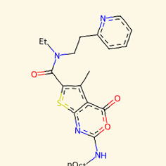 CCCCCCCCNc1nc2sc(C(=O)N(CC)CCc3ccccn3)c(C)c2c(=O)o1